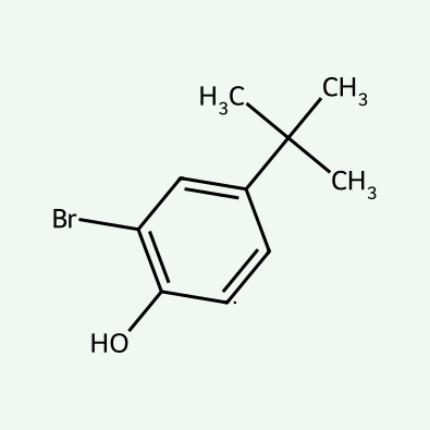 CC(C)(C)c1c[c]c(O)c(Br)c1